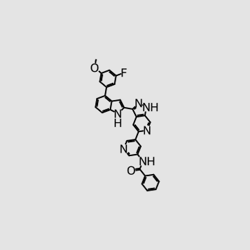 COc1cc(F)cc(-c2cccc3[nH]c(-c4n[nH]c5cnc(-c6cncc(NC(=O)c7ccccc7)c6)cc45)cc23)c1